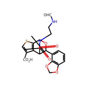 O=CNCCN1C(=O)C(=O)C2c3c(C(=O)O)csc3C1OC2c1cccc2c1OCO2